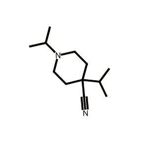 CC(C)N1CCC(C#N)(C(C)C)CC1